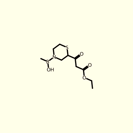 CCOC(=O)CC(=O)C1CN(B(C)O)CCS1